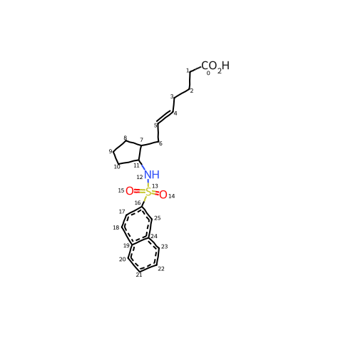 O=C(O)CCCC=CCC1CCCC1NS(=O)(=O)c1ccc2ccccc2c1